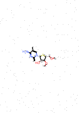 C=C1N=C(N)C(C)=CN1[C@@H]1S[C@H](COC)C(OC)[C@@H]1O